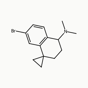 CN(C)C1CCC2(CC2)c2cc(Br)ccc21